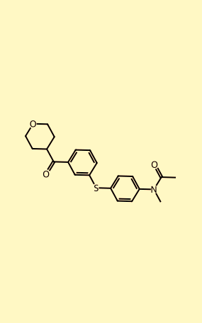 CC(=O)N(C)c1ccc(Sc2cccc(C(=O)C3CCOCC3)c2)cc1